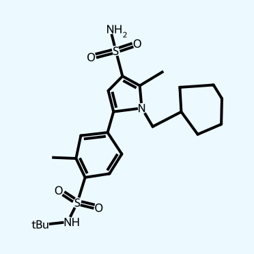 Cc1cc(-c2cc(S(N)(=O)=O)c(C)n2CC2CCCCC2)ccc1S(=O)(=O)NC(C)(C)C